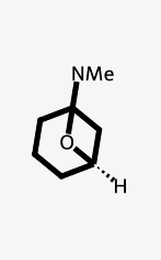 CNC12CCC[C@H](C1)O2